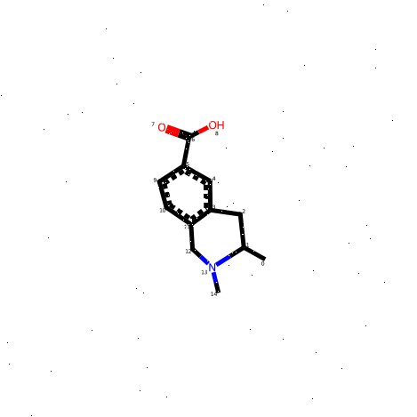 CC1Cc2cc(C(=O)O)ccc2CN1C